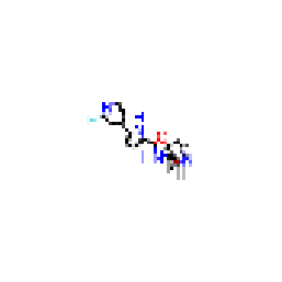 C[C@H]1[C@H](NC(=O)c2ccc(-c3ccnc(F)c3)[nH]2)C2CCN1CC2